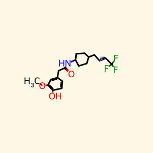 COc1cc(CC(=O)NC2CCC(C/C=C/C(F)(F)F)CC2)ccc1O